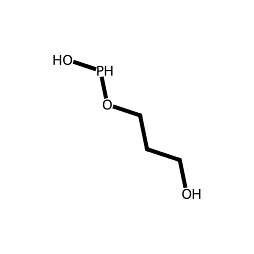 OCCCOPO